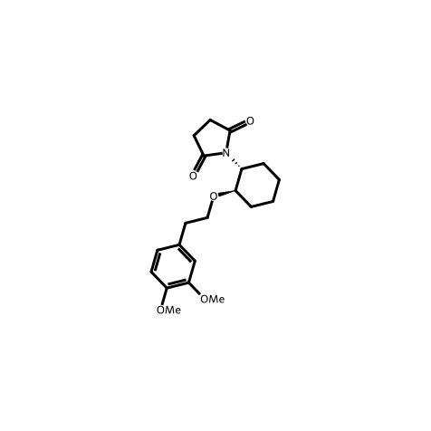 COc1ccc(CCO[C@@H]2CCCC[C@H]2N2C(=O)CCC2=O)cc1OC